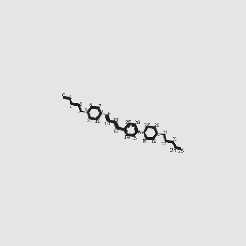 CCCCC[C@H]1CC[C@H](C=CC=Cc2ccc([C@H]3CC[C@H](CCCCC)CC3)cc2)CC1